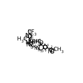 Cc1cc(-c2ccc3c(c2)CCN(CCSc2nnc(-c4ccc(C(F)(F)F)nc4C)n2C)CC3OC=O)no1